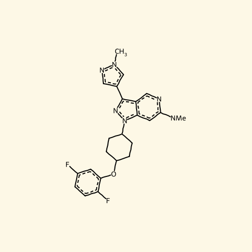 CNc1cc2c(cn1)c(-c1cnn(C)c1)nn2C1CCC(Oc2cc(F)ccc2F)CC1